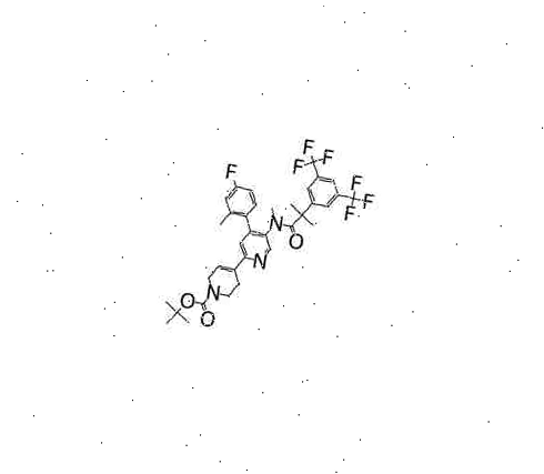 Cc1cc(F)ccc1-c1cc(C2=CCN(C(=O)OC(C)(C)C)CC2)ncc1N(C)C(=O)C(C)(C)c1cc(C(F)(F)F)cc(C(F)(F)F)c1